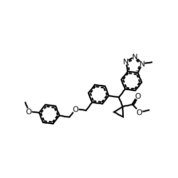 COC(=O)C1(C(c2cccc(COCc3ccc(OC)cc3)c2)c2ccc3c(c2)nnn3C)CC1